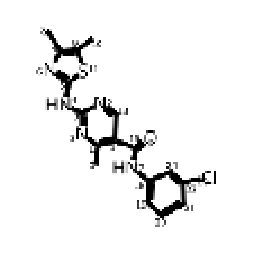 Cc1nc(Nc2nc(C)c(C)s2)ncc1C(=O)Nc1cccc(Cl)c1